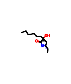 CCCCCC[C@](O)(CCCC)C(N)=O